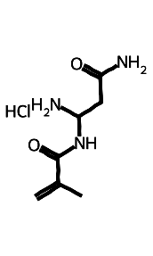 C=C(C)C(=O)NC(N)CC(N)=O.Cl